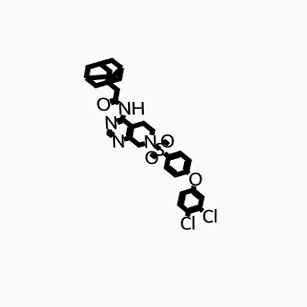 O=C(CC12CC3CC(CC(C3)C1)C2)Nc1ncnc2c1CCN(S(=O)(=O)c1ccc(Oc3ccc(Cl)c(Cl)c3)cc1)C2